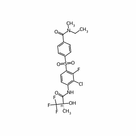 CCN(C)C(=O)c1ccc(S(=O)(=O)c2ccc(NC(=O)[C@@](C)(O)C(F)(F)F)c(Cl)c2F)cc1